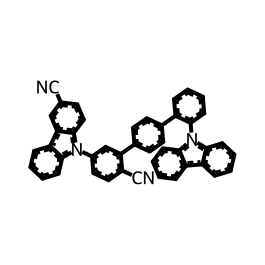 N#Cc1ccc2c(c1)c1ccccc1n2-c1ccc(C#N)c(-c2ccc(-c3ccccc3-n3c4ccccc4c4ccccc43)cc2)c1